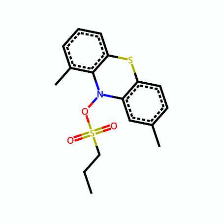 CCCS(=O)(=O)ON1c2cc(C)ccc2Sc2cccc(C)c21